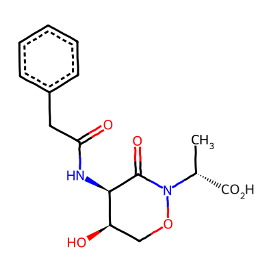 C[C@H](C(=O)O)N1OC[C@@H](O)[C@@H](NC(=O)Cc2ccccc2)C1=O